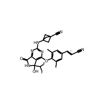 Cc1cc(/C=C/C#N)cc(C)c1Oc1nc(NC23CC(C#N)(C2)C3)nc2c1C(O)(C(F)F)NC2=O